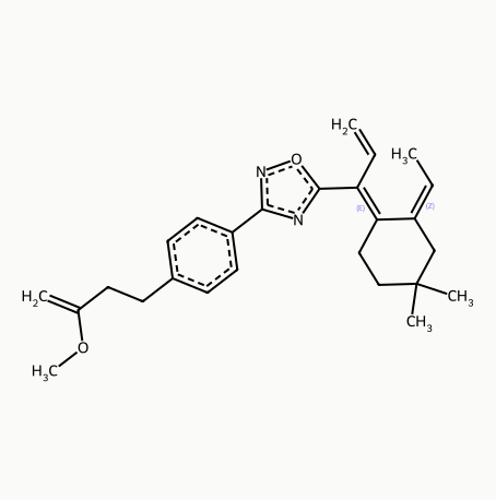 C=C/C(=C1/CCC(C)(C)C/C1=C/C)c1nc(-c2ccc(CCC(=C)OC)cc2)no1